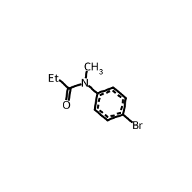 CCC(=O)N(C)c1ccc(Br)cc1